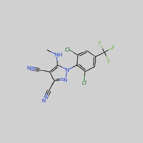 CNc1c(C#N)c(C#N)nn1-c1c(Cl)cc(C(F)(F)F)cc1Cl